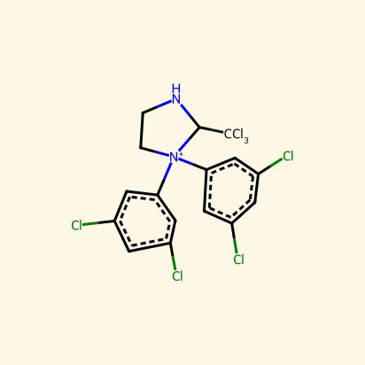 Clc1cc(Cl)cc([N+]2(c3cc(Cl)cc(Cl)c3)CCNC2C(Cl)(Cl)Cl)c1